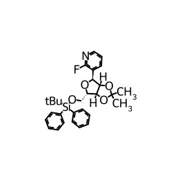 CC1(C)O[C@@H]2[C@H](O1)[C@H](CO[Si](c1ccccc1)(c1ccccc1)C(C)(C)C)O[C@H]2c1cccnc1F